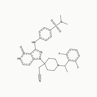 CC(c1c(F)cccc1F)N1CCC(CC#N)(n2nc(Nc3ccc(S(=O)(=O)N(C)C)cc3)c3c(=O)[nH]ccc32)CC1